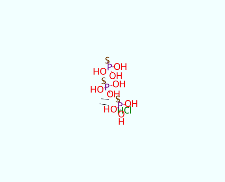 CC.CC.Cl.OP(O)(O)=S.OP(O)(O)=S.OP(O)(O)=S